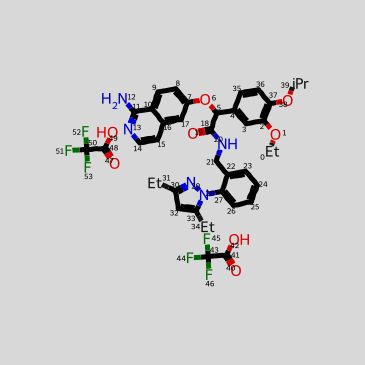 CCOc1cc(C(Oc2ccc3c(N)nccc3c2)C(=O)NCc2ccccc2-n2nc(CC)cc2CC)ccc1OC(C)C.O=C(O)C(F)(F)F.O=C(O)C(F)(F)F